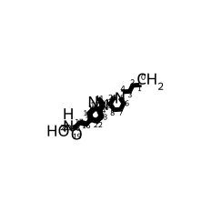 C=CCCCN1CCCC(n2cnc3cc(C=CC(=O)NO)ccc32)C1